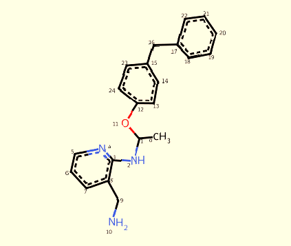 CC(Nc1ncccc1CN)Oc1ccc(Cc2ccccc2)cc1